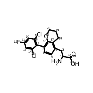 NC(Cc1ccc(-c2c(Cl)cc(F)cc2Cl)c2c1CCCO2)C(=O)O